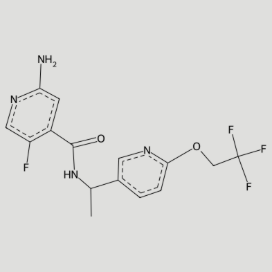 CC(NC(=O)c1cc(N)ncc1F)c1ccc(OCC(F)(F)F)nc1